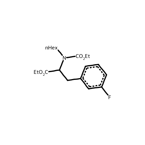 CCCCCCN(C(=O)OCC)C(Cc1cccc(F)c1)C(=O)OCC